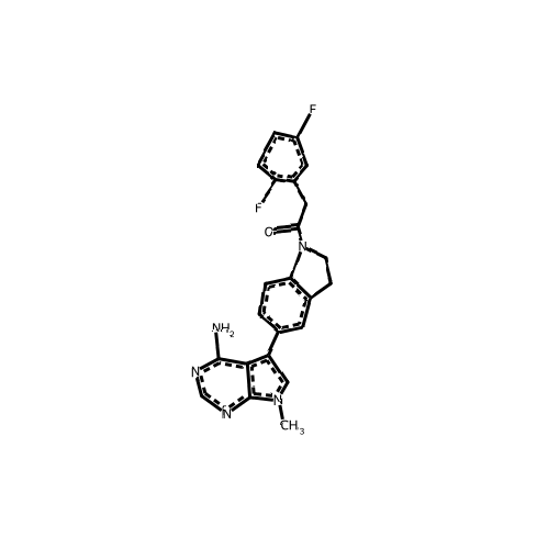 Cn1cc(-c2ccc3c(c2)CCN3C(=O)Cc2cc(F)ccc2F)c2c(N)ncnc21